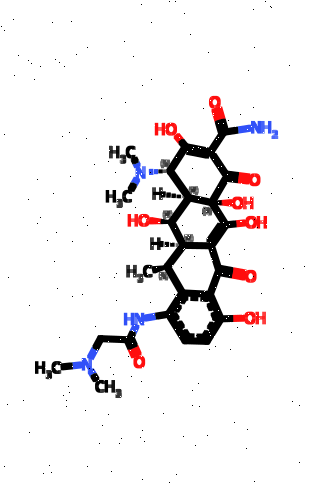 C[C@@H]1c2c(NC(=O)CN(C)C)ccc(O)c2C(=O)C2=C(O)[C@@]3(O)C(=O)C(C(N)=O)=C(O)[C@@H](N(C)C)[C@@H]3[C@H](O)[C@@H]21